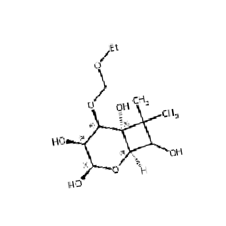 CCOCO[C@@H]1[C@H](O)[C@H](O)O[C@@H]2C(O)C(C)(C)[C@@]21O